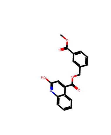 COC(=O)c1cccc(COC(=O)c2cc(O)nc3ccccc23)c1